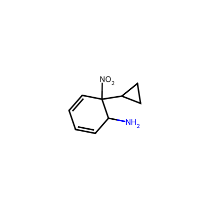 NC1C=CC=CC1(C1CC1)[N+](=O)[O-]